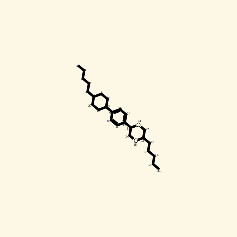 CCCCCC1CCC(c2ccc(C3COC(CCCCC)CO3)cc2)CC1